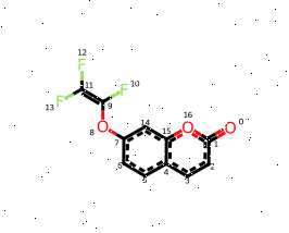 O=c1ccc2ccc(OC(F)=C(F)F)cc2o1